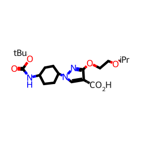 CC(C)OCCOc1nn(C2CCC(NC(=O)OC(C)(C)C)CC2)cc1C(=O)O